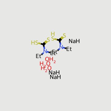 CCN(CC)C(=S)S.CCN(CC)C(=S)S.O.O.O.[NaH].[NaH].[NaH]